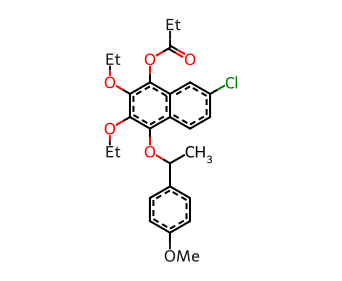 CCOc1c(OCC)c(OC(C)c2ccc(OC)cc2)c2ccc(Cl)cc2c1OC(=O)CC